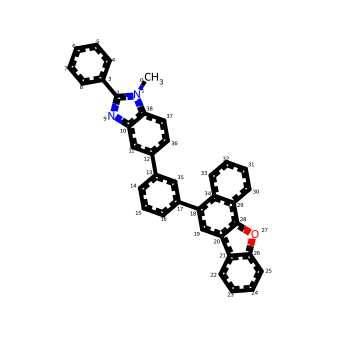 Cn1c(-c2ccccc2)nc2cc(-c3cccc(-c4cc5c6ccccc6oc5c5ccccc45)c3)ccc21